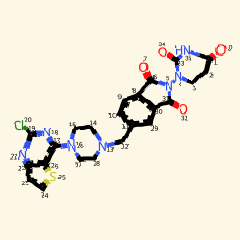 O=C1CCN(N2C(=O)c3ccc(CN4CCN(c5nc(Cl)nc6ccsc56)CC4)cc3C2=O)C(=O)N1